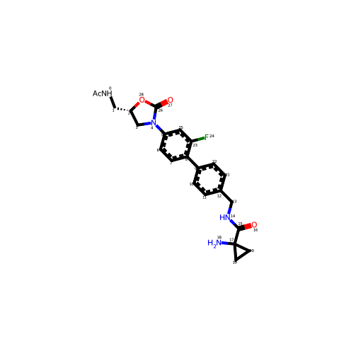 CC(=O)NC[C@H]1CN(c2ccc(-c3ccc(CNC(=O)C4(N)CC4)cc3)c(F)c2)C(=O)O1